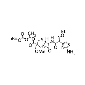 CCCCOC(=O)OC(C)OC(=O)C1(COC)CS[C@@H]2C(NC(=O)C(=NOCC)c3csc(N)n3)C(=O)N2C1